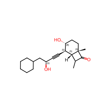 CC1C(=O)[C@@]2(C)CC[C@@H](O)[C@H](C#C[C@@H](O)CC3CCCCC3)[C@@H]12